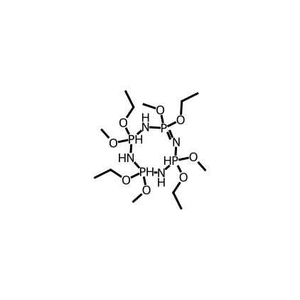 CCOP1(OC)=N[PH](OC)(OCC)N[PH](OC)(OCC)N[PH](OC)(OCC)N1